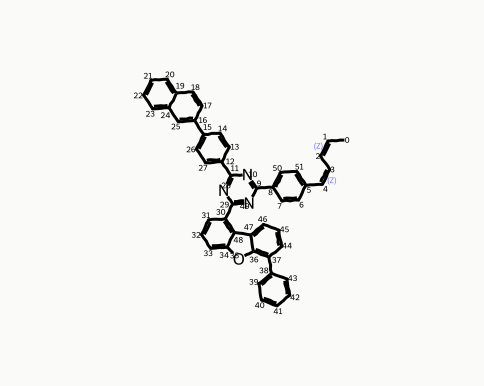 C/C=C\C=C/c1ccc(-c2nc(-c3ccc(-c4ccc5ccccc5c4)cc3)nc(-c3cccc4oc5c(-c6ccccc6)cccc5c34)n2)cc1